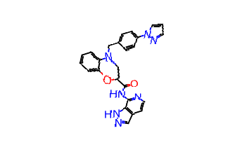 O=C(Nc1nccc2cn[nH]c12)C1CN(Cc2ccc(-n3cccn3)cc2)c2ccccc2O1